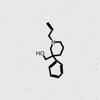 C=CCN1CCCC(CO)(c2ccccc2)C1